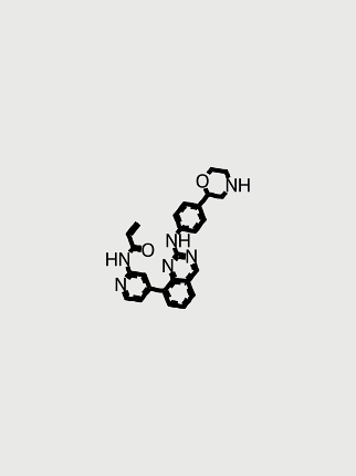 C=CC(=O)Nc1cc(-c2cccc3cnc(Nc4ccc(C5CNCCO5)cc4)nc23)ccn1